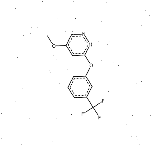 COc1cnnc(Oc2cccc(C(F)(F)F)c2)c1